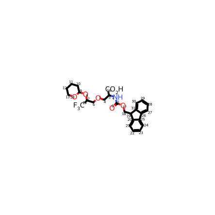 O=C(NC(COCC(OC1CCCCO1)C(F)(F)F)C(=O)O)OCC1c2ccccc2-c2ccccc21